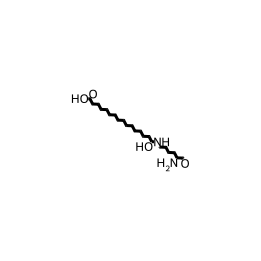 NC(C=O)CCCCNC(O)CCCCCCCCCCCCCCC(=O)O